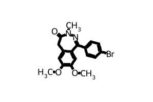 COc1cc2c(cc1OC)C(c1ccc(Br)cc1)=NN(C)C(=O)C2